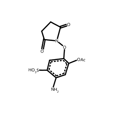 CC(=O)Oc1cc(N)c(S(=O)(=O)O)cc1ON1C(=O)CCC1=O